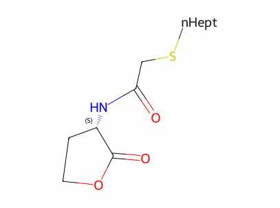 CCCCCCCSCC(=O)N[C@H]1CCOC1=O